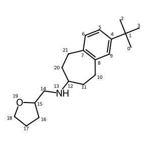 CC(C)(C)c1ccc2c(c1)CCC(NCC1CCCO1)CC2